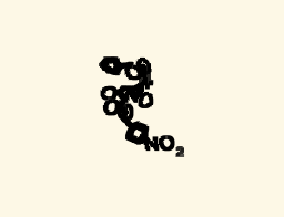 CN(C(=O)OCc1ccccc1)C1C(=O)N2C(C(=O)OCc3ccc([N+](=O)[O-])cc3)C(=O)CC12